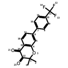 CC1(C)Oc2cc(-c3ccc(C(F)(F)F)cc3)ccc2C(=O)C1=O